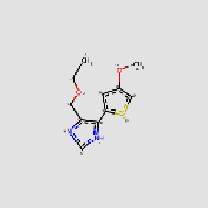 CCOCc1nc[nH]c1-c1cc(OC)cs1